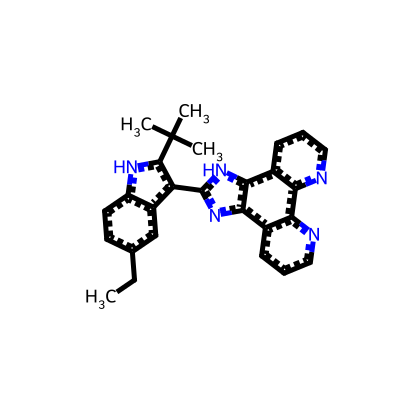 CCc1ccc2[nH]c(C(C)(C)C)c(-c3nc4c5cccnc5c5ncccc5c4[nH]3)c2c1